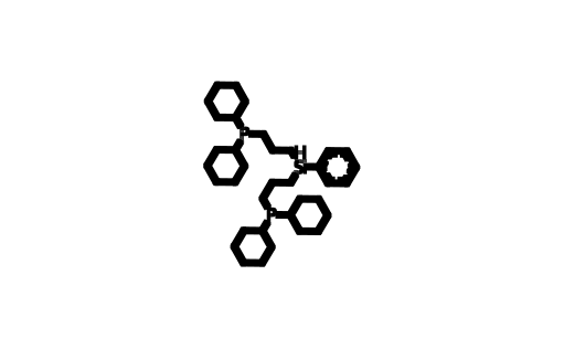 c1ccc([SiH](CCCP(C2CCCCC2)C2CCCCC2)CCCP(C2CCCCC2)C2CCCCC2)cc1